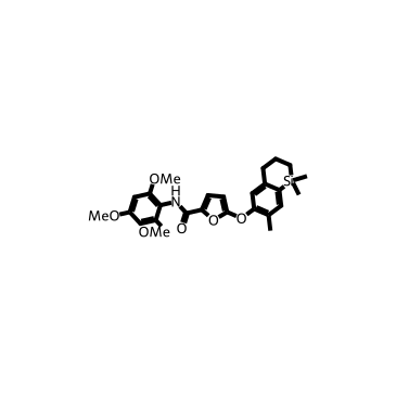 COc1cc(OC)c(NC(=O)c2ccc(Oc3cc4c(cc3C)[Si](C)(C)CCC4)o2)c(OC)c1